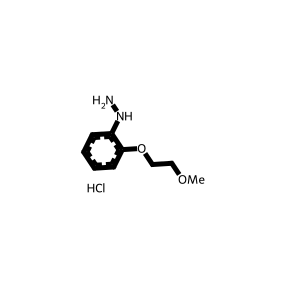 COCCOc1ccccc1NN.Cl